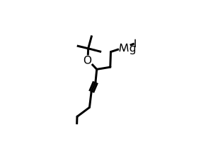 CCCC#CC(C[CH2][Mg][I])OC(C)(C)C